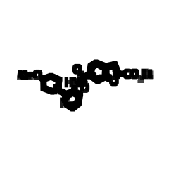 CCOC(=O)c1cc2ccc(S(=O)(=O)Nc3cccnc3N3CCC(OC)CC3)cc2o1